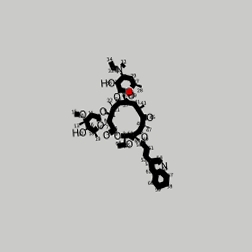 CC[C@H]1OC(=O)[C@H](C)[C@@H](O[C@H]2C[C@@](C)(OC)[C@@H](O)[C@H](C)O2)[C@H](C)[C@@H](O[C@@H]2O[C@H](C)C[C@H](N(C)CC)[C@H]2O)[C@](C)(OC)C[C@@H](C)C(=O)[C@H](C)[C@@H](OC/C=C/c2cnc3ccccc3c2)[C@]1(C)O